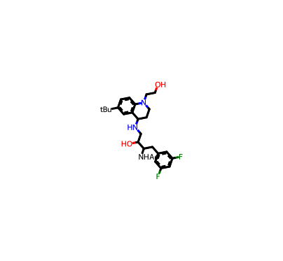 CC(=O)NC(Cc1cc(F)cc(F)c1)C(O)CNC1CCN(CCO)c2ccc(C(C)(C)C)cc21